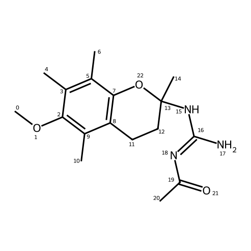 COc1c(C)c(C)c2c(c1C)CCC(C)(NC(N)=NC(C)=O)O2